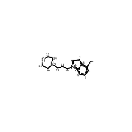 Cc1cccc2c1ccn2CCCN1CCOCC1